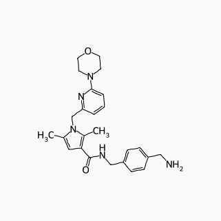 Cc1cc(C(=O)NCc2ccc(CN)cc2)c(C)n1Cc1cccc(N2CCOCC2)n1